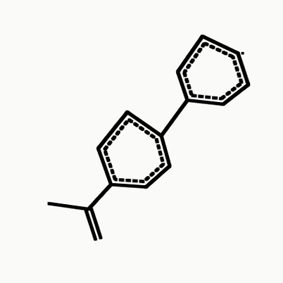 C=C(C)c1ccc(-c2cc[c]cc2)cc1